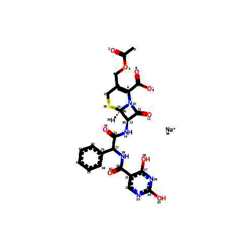 CC(=O)OCC1=C(C(=O)[O-])N2C(=O)[C@@H](NC(=O)C(NC(=O)c3cnc(O)nc3O)c3ccccc3)[C@H]2SC1.[Na+]